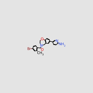 Cc1cc(Br)ccc1C(=O)N1CCOc2ccc(-c3ccc(N)nc3)cc2C1